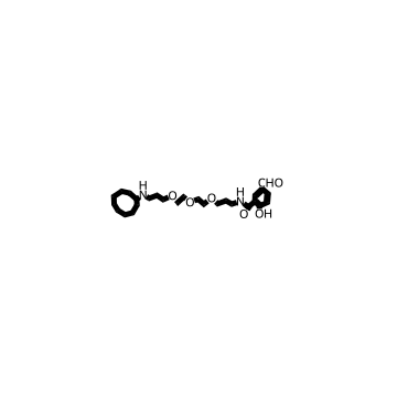 O=Cc1ccc(O)c(C(=O)NCCCOCCOCCOCCCNC2CCCCCCCC2)c1